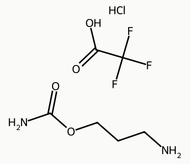 Cl.NCCCOC(N)=O.O=C(O)C(F)(F)F